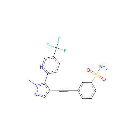 Cn1ncc(C#Cc2cccc(S(N)(=O)=O)c2)c1-c1ccc(C(F)(F)F)cn1